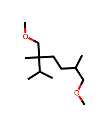 COCC(C)CCC(C)(COC)C(C)C